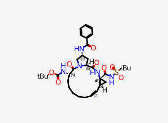 CCC(C)S(=O)(=O)NC(=O)[C@@]12C[C@H]1/C=C\CCCCC[C@H](NC(=O)OC(C)(C)C)C(=O)N1C[C@H](NC(=O)c3ccccc3)C[C@H]1C(=O)N2